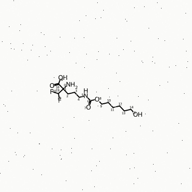 NC(CCCNC(=O)OCCCCCCO)(C(=O)O)C(F)F